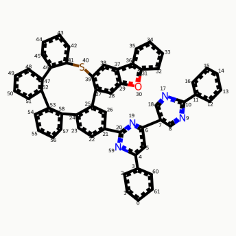 c1ccc(-c2cc(-c3cnc(-c4ccccc4)nc3)nc(-c3ccc4c(c3)-c3cc5oc6ccccc6c5cc3Sc3ccccc3-c3ccccc3-c3ccccc3-4)n2)cc1